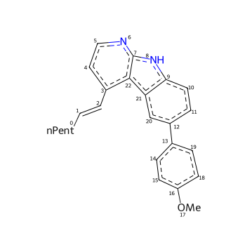 CCCCCC=Cc1ccnc2[nH]c3ccc(-c4ccc(OC)cc4)cc3c12